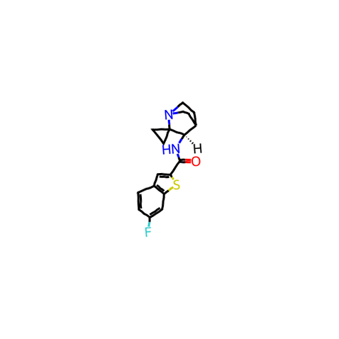 O=C(N[C@@H]1C2CCN(CC2)C12CC2)c1cc2ccc(F)cc2s1